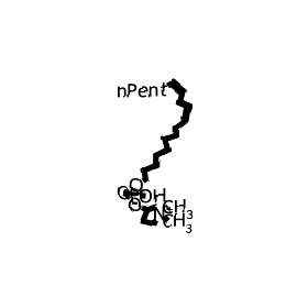 CCCCC/C=C\C/C=C\CCCCCCCCOP(=O)(O)OC1CC[N+](C)(C)C1